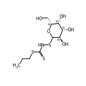 CCCSC(=S)NSC1O[C@H](CO)[C@H](O)[C@H](O)[C@H]1O